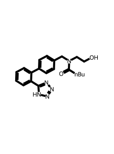 CCCCC(=O)N(CCO)Cc1ccc(-c2ccccc2-c2nnn[nH]2)cc1